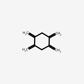 C=C1CC(=C)C(=C)CC1=C